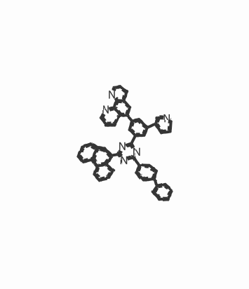 c1ccc(-c2ccc(-c3nc(-c4cc(-c5cccnc5)cc(-c5cc6cccnc6c6ncccc56)c4)nc(-c4cc5ccccc5c5ccccc45)n3)cc2)cc1